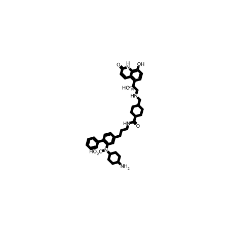 NC1CCC(N(C(=O)O)c2cc(CCCNC(=O)C3CCC(CNC[C@H](O)c4ccc(O)c5[nH]c(=O)ccc45)CC3)ccc2-c2ccccc2)CC1